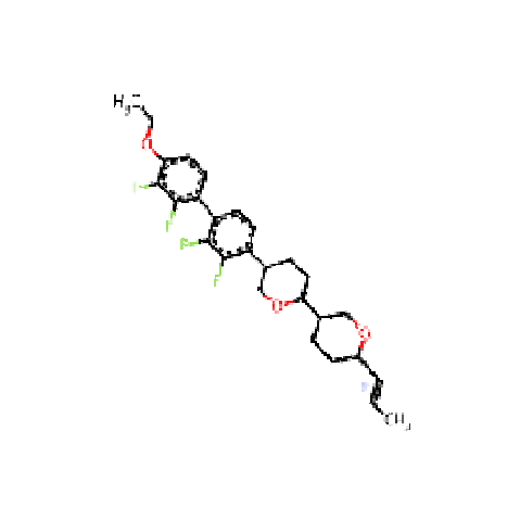 C/C=C/C1CCC(C2CCC(c3ccc(-c4ccc(OCC)c(F)c4F)c(F)c3F)CO2)CO1